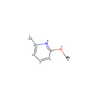 CC(C)Oc1[c]ccc(Cl)n1